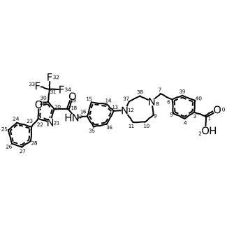 O=C(O)c1ccc(CN2CCCN(c3ccc(NC(=O)c4nc(-c5ccccc5)oc4C(F)(F)F)cc3)CC2)cc1